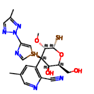 CO[C@@H]1[C@H](S)O[C@@H](CO)[C@@H](O)[C@@]1(c1cc(C)cnc1C#N)[SH]1C=NC(n2ncc(C)n2)=C1